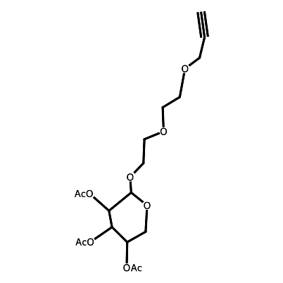 C#CCOCCOCCOC1OCC(OC(C)=O)C(OC(C)=O)C1OC(C)=O